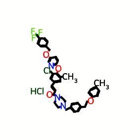 Cc1ccc(OCCc2ccc(CN3CCN(C(=O)C=Cc4cc(C)c(Oc5ccc(OCc6ccc(C(F)(F)F)cc6)cn5)c(Cl)c4)CC3)cc2)cc1.Cl